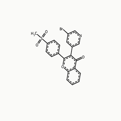 CS(=O)(=O)c1ccc(-c2oc3ccccc3c(=O)c2-c2cncc(Br)c2)cc1